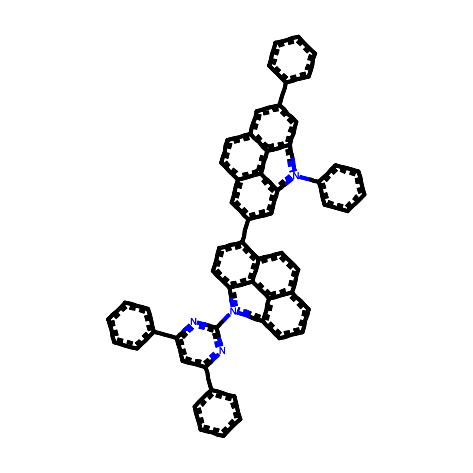 c1ccc(-c2cc3ccc4cc(-c5ccc6c7c5ccc5cccc(c57)n6-c5nc(-c6ccccc6)cc(-c6ccccc6)n5)cc5c4c3c(c2)n5-c2ccccc2)cc1